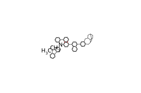 CC1(C)c2ccccc2-c2ccc(N(c3ccc(-c4ccc(-c5ccc6c(c5)CC5CC7CCC5C(C6)C7)c5ccccc45)cc3)c3ccccc3-c3ccccc3)cc21